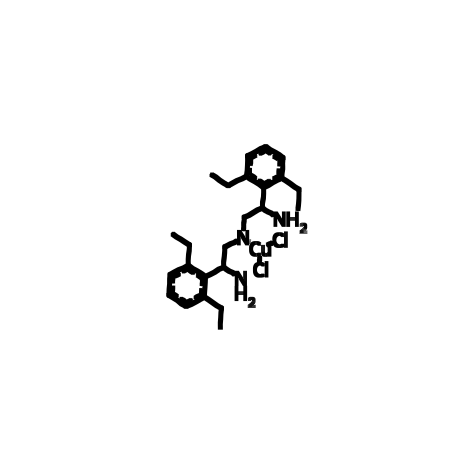 CCc1cccc(CC)c1C(N)C[N](CC(N)c1c(CC)cccc1CC)[Cu]([Cl])[Cl]